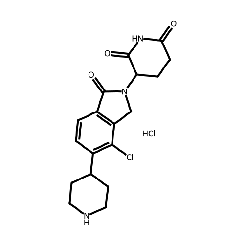 Cl.O=C1CCC(N2Cc3c(ccc(C4CCNCC4)c3Cl)C2=O)C(=O)N1